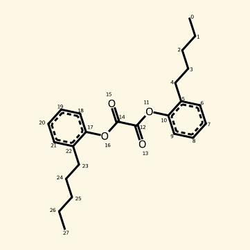 CCCCCc1ccccc1OC(=O)C(=O)Oc1ccccc1CCCCC